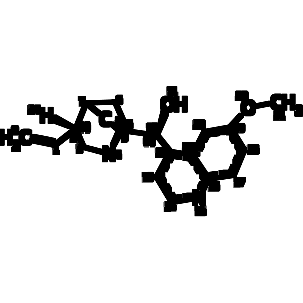 C=C[C@H]1CN2CCC1CC2[C@@H](O)c1ccnc2ccc(OC)cc12